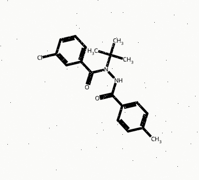 Cc1ccc(C(=O)NN(C(=O)c2cccc(Cl)c2)C(C)(C)C)cc1